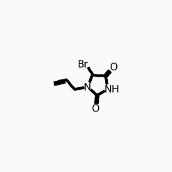 C=CCN1C(=O)NC(=O)C1Br